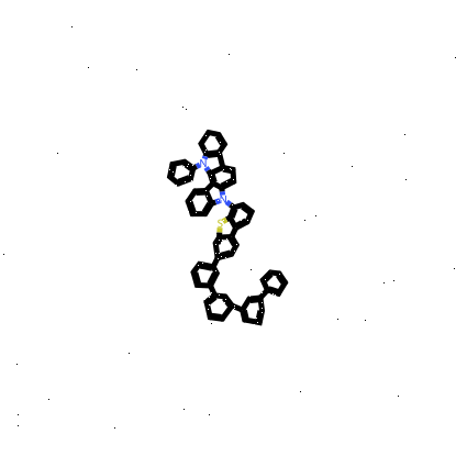 C1=Cc2c(n(-c3ccccc3)c3c2ccc2c3c3ccccc3n2-c2cccc3c2sc2cc(-c4cccc(-c5cccc(-c6cccc(-c7ccccc7)c6)c5)c4)ccc23)CC1